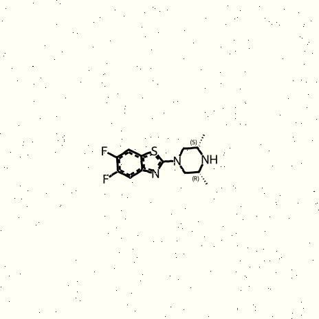 C[C@@H]1CN(c2nc3cc(F)c(F)cc3s2)C[C@H](C)N1